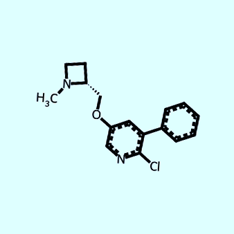 CN1CC[C@@H]1COc1cnc(Cl)c(-c2ccccc2)c1